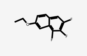 CCOc1ccc2cc(F)c(F)c(F)c2c1